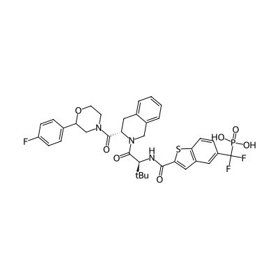 CC(C)(C)[C@H](NC(=O)c1cc2cc(C(F)(F)P(=O)(O)O)ccc2s1)C(=O)N1Cc2ccccc2C[C@H]1C(=O)N1CCOC(c2ccc(F)cc2)C1